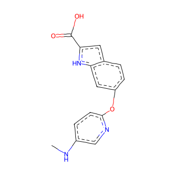 CNc1ccc(Oc2ccc3cc(C(=O)O)[nH]c3c2)nc1